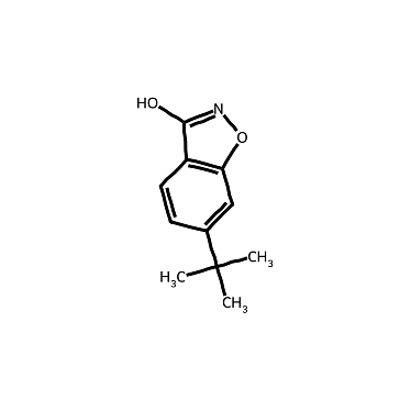 CC(C)(C)c1ccc2c(O)noc2c1